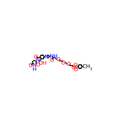 Cc1ccc(S(=O)(=O)OCCOCCOCCOCCC(=O)NC2CN(c3ccc4c(c3)C(O)N(C3CCC(=O)NC3=O)C4=O)C2)cc1